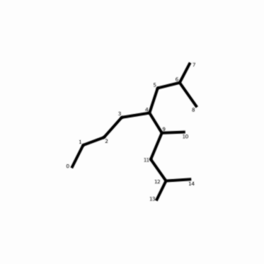 CCCCC(CC(C)C)C(C)CC(C)C